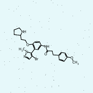 COc1ccc(CCC(=O)Nc2ccc(OCCC3CCCN3)c(-c3c(Br)cnn3C)c2)cc1